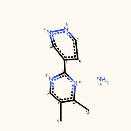 Cc1cnc(-c2ccnnc2)nc1C.N